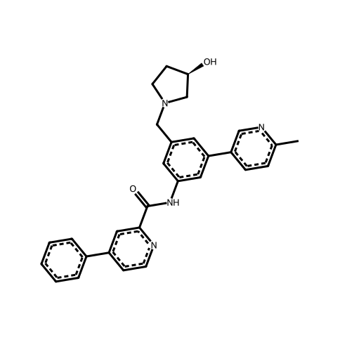 Cc1ccc(-c2cc(CN3CC[C@@H](O)C3)cc(NC(=O)c3cc(-c4ccccc4)ccn3)c2)cn1